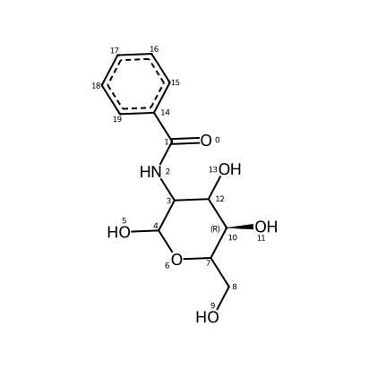 O=C(NC1C(O)OC(CO)[C@H](O)C1O)c1ccccc1